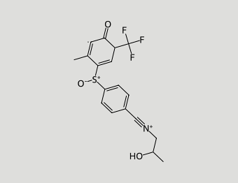 CC1=[C]C(=O)C(C(F)(F)F)C=C1[S+]([O-])c1ccc(C#[N+]CC(C)O)cc1